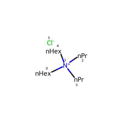 CCCCCC[N+](CCC)(CCC)CCCCCC.[Cl-]